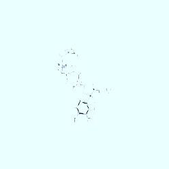 COC(=O)C(C)(CCN1CCC(NS(=O)(=O)CC2CC2)CC1)c1ccc(Cl)c(Cl)c1